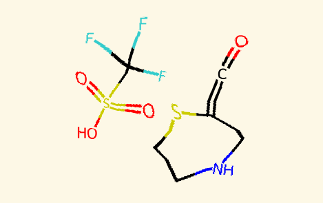 O=C=C1CNCCS1.O=S(=O)(O)C(F)(F)F